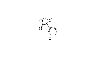 C[C@@H]1COC(=O)N1C1=CC(F)CC=C1